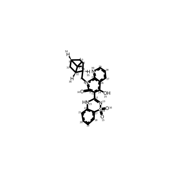 CC1(C)[C@H]2CC[C@@H](Cn3c(=O)c(C4=NS(=O)(=O)c5ccccc5N4)c(O)c4cccnc43)[C@@H]1C2